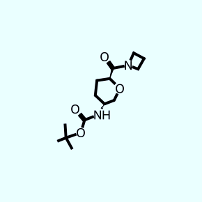 CC(C)(C)OC(=O)N[C@@H]1CC[C@@H](C(=O)N2CCC2)OC1